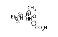 CCN(CC)c1nc(Cn2cc(C)cc2C(=O)Nc2ccc(C(=O)O)cc2)cs1